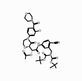 CC(=O)O[C@@H](C(=O)Nc1ccc(C#N)c(CN(C(=O)OC(C)(C)C)C(=O)OC(C)(C)C)c1)[C@H]1OCCN(c2ccc(C(=O)N3CCOCC3)c(Cl)c2)C1=O